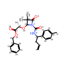 C=CCC(NC(=O)N1C(=O)C(CC)(CC)C1O[C@@H](C)C(=O)OCc1ccccc1)c1ccc(C)cc1